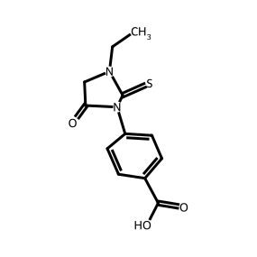 CCN1CC(=O)N(c2ccc(C(=O)O)cc2)C1=S